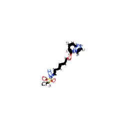 O=S(=O)(NCCCCCCOc1cccc2nccn12)C(F)(F)F